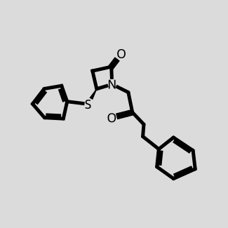 O=C(CCc1ccccc1)CN1C(=O)C[C@@H]1Sc1ccccc1